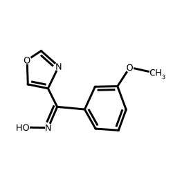 COc1cccc(/C(=N/O)c2cocn2)c1